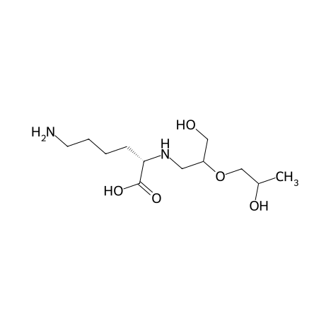 CC(O)COC(CO)CN[C@@H](CCCCN)C(=O)O